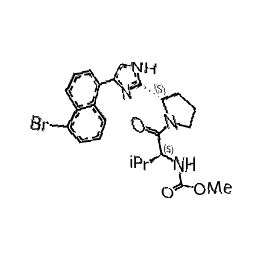 COC(=O)N[C@H](C(=O)N1CCC[C@H]1c1nc(-c2cccc3c(Br)cccc23)c[nH]1)C(C)C